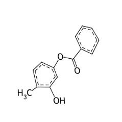 Cc1ccc(OC(=O)c2ccccc2)cc1O